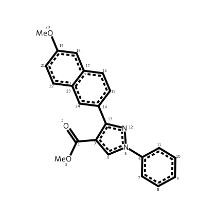 COC(=O)c1cn(-c2ccccc2)nc1-c1ccc2cc(OC)ccc2c1